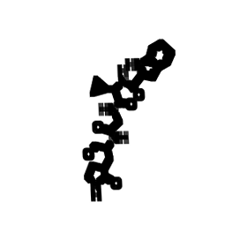 O=CC(CC1CCNC1=O)NC(=O)CNC(=O)C(NC(=O)c1cc2ccccc2[nH]1)C1CC1